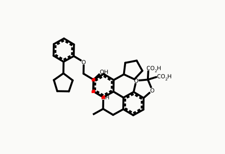 CC(Cc1ccc2c(c1-c1ccccc1C1CCCC1)OC(C(=O)O)(C(=O)O)O2)NCC(O)COc1ccccc1C1CCCC1